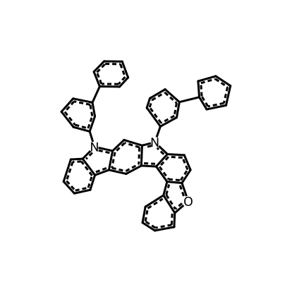 c1ccc(-c2cccc(-n3c4ccccc4c4cc5c6c7c(ccc6n(-c6cccc(-c8ccccc8)c6)c5cc43)oc3ccccc37)c2)cc1